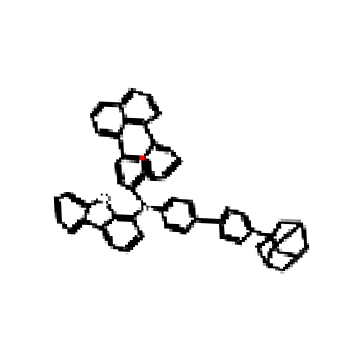 c1ccc(-c2cccc3cccc(-c4ccc(N(c5ccc(-c6ccc(C78CC9CC(CC(C9)C7)C8)cc6)cc5)c5cccc6c5oc5ccccc56)cc4)c23)cc1